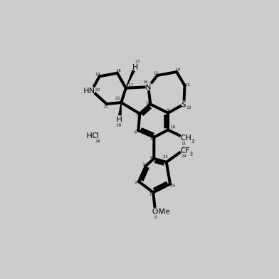 COc1ccc(-c2cc3c4c(c2C)SCCCN4[C@H]2CCNC[C@@H]32)c(C(F)(F)F)c1.Cl